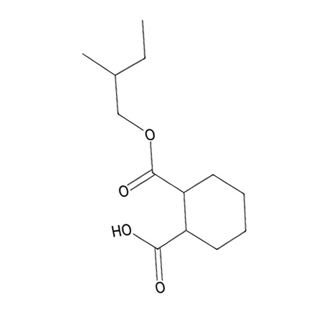 CCC(C)COC(=O)C1CCCCC1C(=O)O